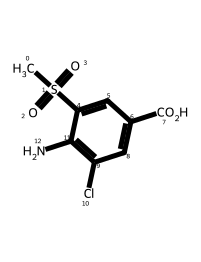 CS(=O)(=O)c1cc(C(=O)O)cc(Cl)c1N